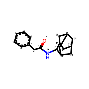 O=C(Cc1ccccc1)NC1C2CC3CC(C2)CC1C3